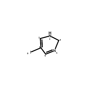 IC1=CNCN=C1